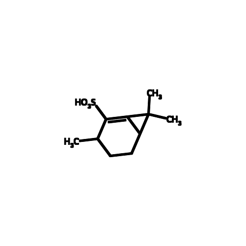 CC1CCC2C(=C1S(=O)(=O)O)C2(C)C